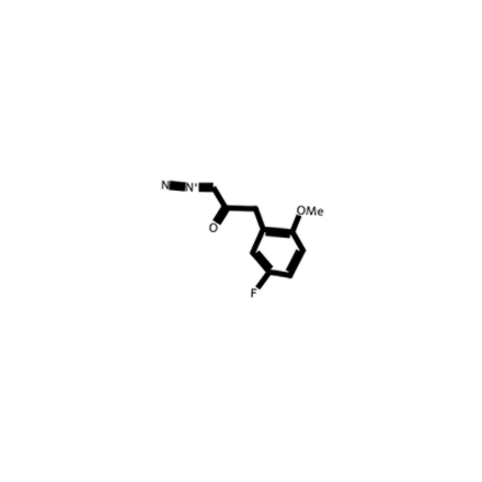 COc1ccc(F)cc1CC(=O)C=[N+]=[N-]